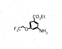 CCOC(=O)c1cc(N)cc(OCC(F)(F)F)c1